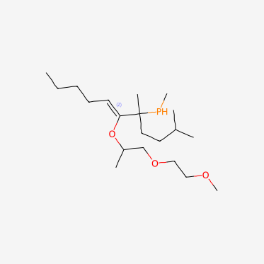 CCCC/C=C(\OC(C)COCCOC)C(C)(CCC(C)C)PC